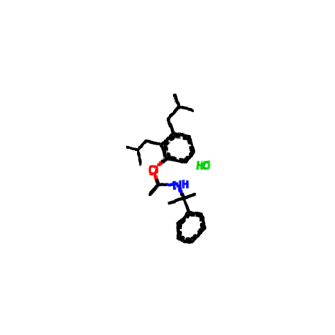 CC(C)Cc1cccc(OC(C)NC(C)(C)c2ccccc2)c1CC(C)C.Cl